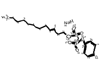 CCCCCCCCCCCCOS(=O)(=O)S(=O)(=O)Oc1ccccc1.[NaH]